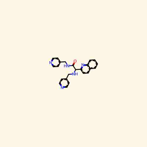 O=C(NCc1ccncc1)C(NCc1ccncc1)c1ccc2ccccc2n1